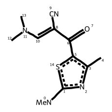 CNc1nc(C)c(C(=O)C(C#N)=CN(C)C)s1